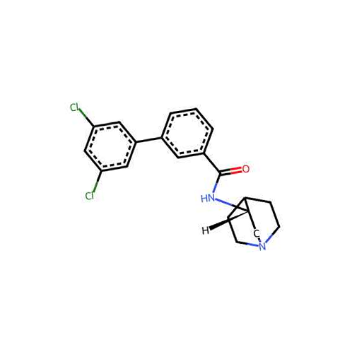 O=C(N[C@H]1CN2CCC1CC2)c1cccc(-c2cc(Cl)cc(Cl)c2)c1